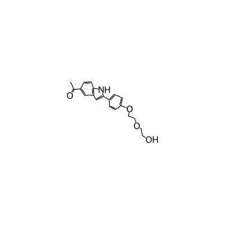 CC(=O)c1ccc2[nH]c(-c3ccc(OCCOCCO)cc3)cc2c1